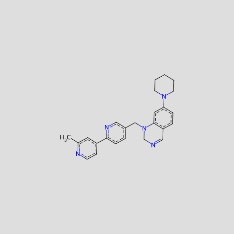 Cc1cc(-c2ccc(CN3CN=Cc4ccc(N5CCCCC5)cc43)cn2)ccn1